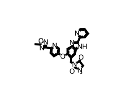 Cc1nc(-c2ccc(Oc3cc4nc(-c5ccccn5)[nH]c4cc3CN3C(=O)CN(C)C3=O)cn2)no1